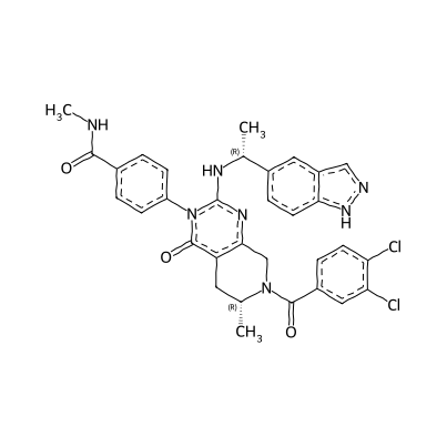 CNC(=O)c1ccc(-n2c(N[C@H](C)c3ccc4[nH]ncc4c3)nc3c(c2=O)C[C@@H](C)N(C(=O)c2ccc(Cl)c(Cl)c2)C3)cc1